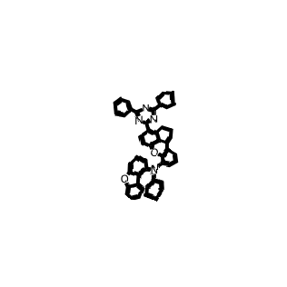 c1ccc(-c2nc(-c3ccccc3)nc(-c3ccc4c5c(cccc35)-c3cccc(N(c5ccccc5)c5cccc6oc7ccccc7c56)c3O4)n2)cc1